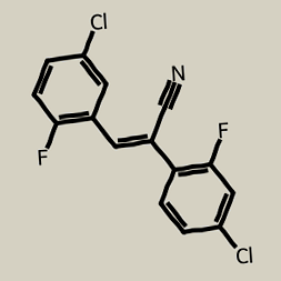 N#C/C(=C\c1cc(Cl)ccc1F)c1ccc(Cl)cc1F